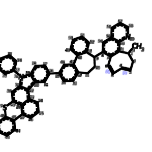 CC1C/C=C/C=C\c2c(C3CCc4ccc(-c5ccc6c(c5)c5c7cccc8c7c(cc5n6-c5ccccc5)Sc5ccccc5-8)cc4-c4ccccc43)cc3cccnc3c21